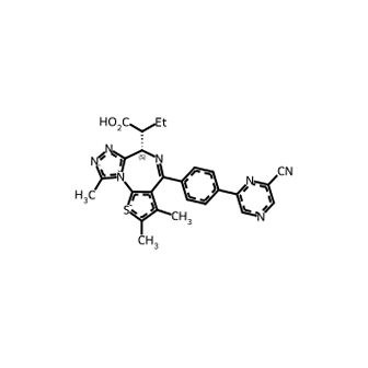 CCC(C(=O)O)[C@@H]1N=C(c2ccc(-c3cncc(C#N)n3)cc2)c2c(sc(C)c2C)-n2c(C)nnc21